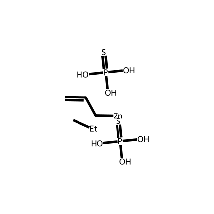 C=C[CH2][Zn].CCC.OP(O)(O)=S.OP(O)(O)=S